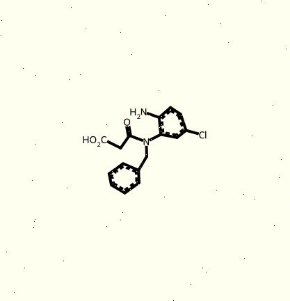 Nc1ccc(Cl)cc1N(Cc1ccccc1)C(=O)CC(=O)O